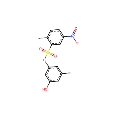 Cc1cc(O)cc(OS(=O)(=O)c2cc([N+](=O)[O-])ccc2C)c1